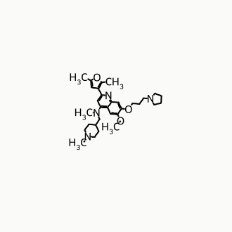 COc1cc2c(N(C)CC3CCN(C)CC3)cc(-c3cc(C)oc3C)nc2cc1OCCCN1CCCC1